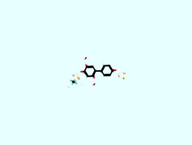 COc1cc(-c2ccc(OS(C)(=O)=O)cc2)c(OC)cc1OS(=O)(=O)C(F)(F)F